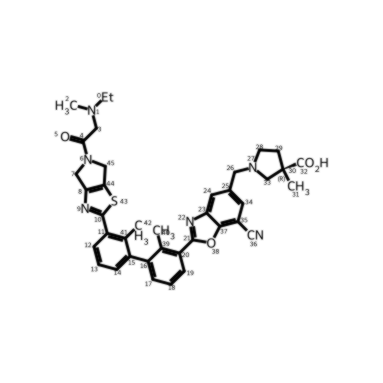 CCN(C)CC(=O)N1Cc2nc(-c3cccc(-c4cccc(-c5nc6cc(CN7CC[C@@](C)(C(=O)O)C7)cc(C#N)c6o5)c4C)c3C)sc2C1